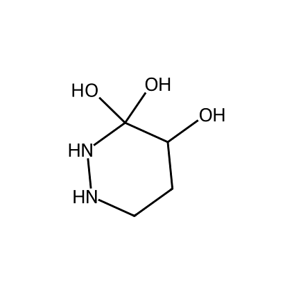 OC1CCNNC1(O)O